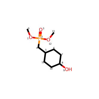 COP(=O)(CC1CCC(O)CC1)OC